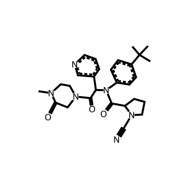 CN1CCN(C(=O)C(c2cccnc2)N(C(=O)C2CCCN2C#N)c2ccc(C(C)(C)C)cc2)CC1=O